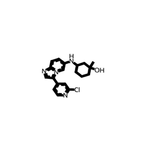 CC1(O)CCCC(Nc2ccc3ncc(-c4ccnc(Cl)c4)n3c2)C1